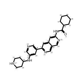 O=C(Nc1cc2cc(-c3cncc(NC4CCNCC4)c3)ncc2cn1)C1CCCCC1